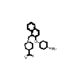 CC(C)(C)[C@H]1CC[C@H](Oc2ccc3ccccc3c2CN2CCC(C(=O)I)CC2)CC1